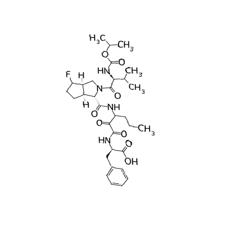 CCCC(NC(=O)[C@@H]1[C@H]2CCC(F)[C@H]2CN1C(=O)[C@@H](NC(=O)OC(C)C)C(C)C)C(=O)C(=O)N[C@H](Cc1ccccc1)C(=O)O